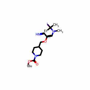 CCC(C)(I)N(C)/C=C(\C=N)OCC1CCN(C(=O)OC(C)(C)C)CC1